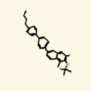 CCCCc1ccc(-c2ccc(-c3ccc4c(F)c(OC(F)(F)F)c(F)cc4c3)cc2)cc1